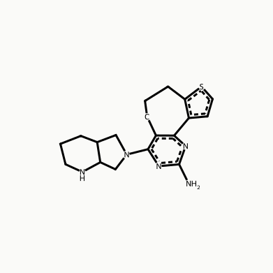 Nc1nc2c(c(N3CC4CCCNC4C3)n1)CCCc1sccc1-2